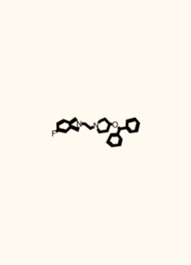 Fc1ccc2cn(CCN3CCC(OC(c4ccccc4)c4ccccc4)CC3)cc2c1